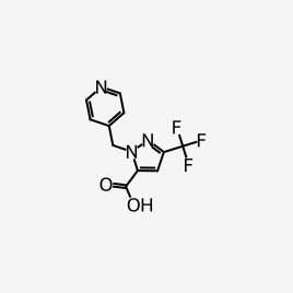 O=C(O)c1cc(C(F)(F)F)nn1Cc1ccncc1